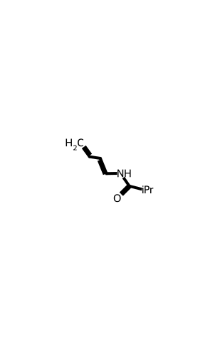 C=C/C=C/NC(=O)C(C)C